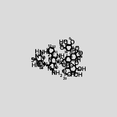 COc1cc([C@@H]2c3cc4c(cc3[C@@H](O[C@@H]3O[C@@H]5CO[C@@H](C)O[C@H]5[C@H](O)[C@H]3O)[C@H]3COC(=O)[C@H]23)OCO4)cc(OC)c1O.Nc1nc(N)c2nc(-c3ccccc3)c(N)nc2n1.Nc1nc2nc[nH]c2c(=S)[nH]1